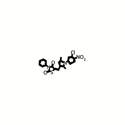 Cc1cc(/C=C2/SC(=O)N(c3ccccc3)C2=O)c(C)n1-c1ccc([N+](=O)[O-])c(Cl)c1